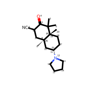 CC1(C)C(=O)C(C#N)C[C@]2(C)C[C@@H](N3CCCC3)CC[C@@]12C